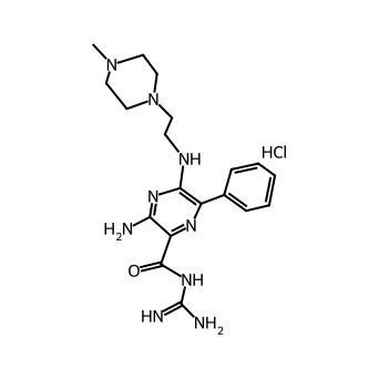 CN1CCN(CCNc2nc(N)c(C(=O)NC(=N)N)nc2-c2ccccc2)CC1.Cl